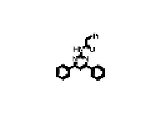 CC(C)CC(=O)Nc1nc(-c2ccccc2)cc(-c2ccccc2)n1